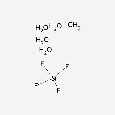 F[Si](F)(F)F.O.O.O.O.O